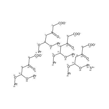 CC(C)OC(CC(=O)CC(=O)[O-])OC(C)C.CC(C)OC(CC(=O)CC(=O)[O-])OC(C)C.CC(C)OC(CC(=O)CC(=O)[O-])OC(C)C.CC(C)OC(CC(=O)CC(=O)[O-])OC(C)C.[Ti+4]